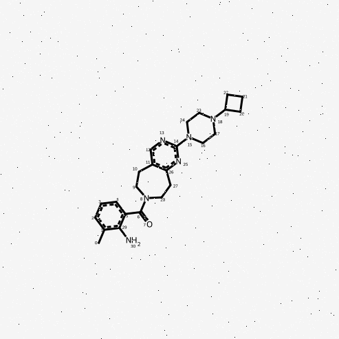 Cc1cccc(C(=O)N2CCc3cnc(N4CCN(C5CCC5)CC4)nc3CC2)c1N